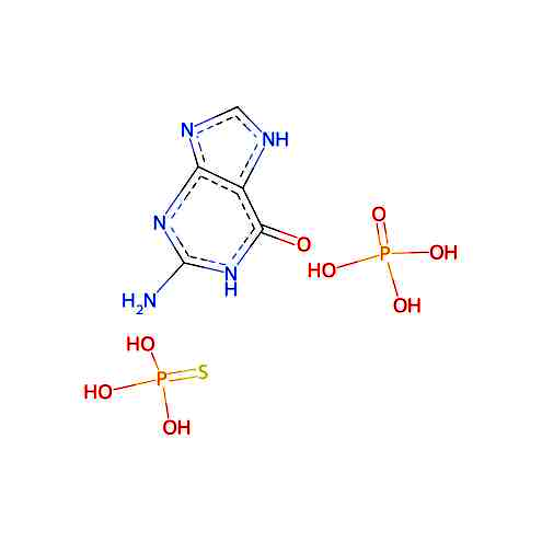 Nc1nc2nc[nH]c2c(=O)[nH]1.O=P(O)(O)O.OP(O)(O)=S